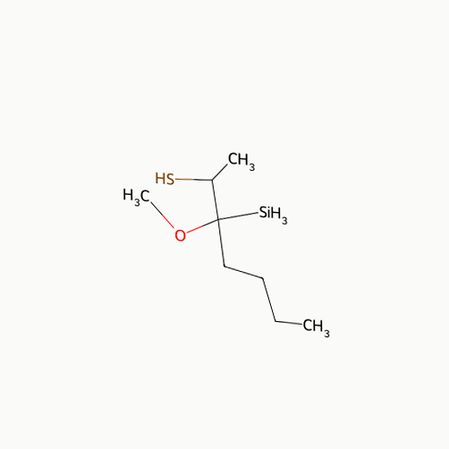 CCCCC([SiH3])(OC)C(C)S